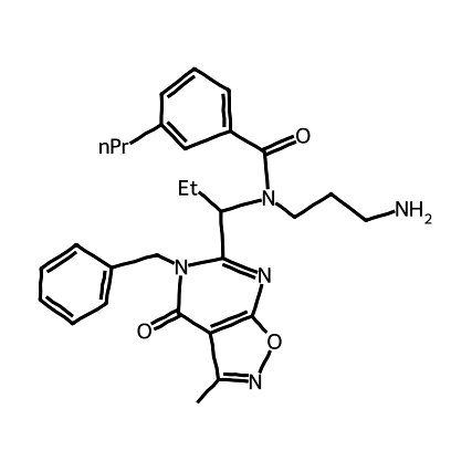 CCCc1cccc(C(=O)N(CCCN)C(CC)c2nc3onc(C)c3c(=O)n2Cc2ccccc2)c1